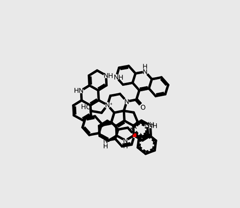 O=C(C1=C2C=CC=CC2NC2C=CNCC12)N1CC[N+](CCO)(C2=C3C=CC=CC3NC3=CCNC=C32)C(C2=C3C=CC=CC3NC3C=CNCC23)C1(Cc1nc2ccccc2[nH]1)C1=C2C=CC=CC2NC2C=CNCC12